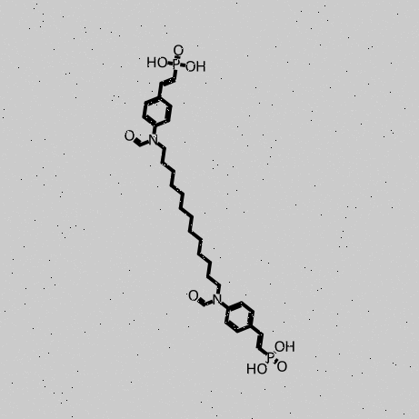 O=CN(CCCCCCCCCCCCCN(C=O)c1ccc(C=CP(=O)(O)O)cc1)c1ccc(C=CP(=O)(O)O)cc1